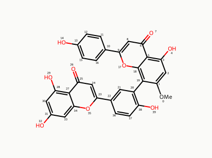 COc1cc(O)c2c(=O)cc(-c3ccc(O)cc3)oc2c1-c1cc(-c2cc(=O)c3c(O)cc(O)cc3o2)ccc1O